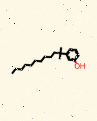 CCCCCCCCCCC(C)(C)c1cccc(O)c1